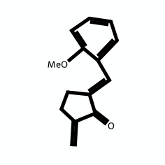 C=C1CCC(=Cc2ccccc2OC)C1=O